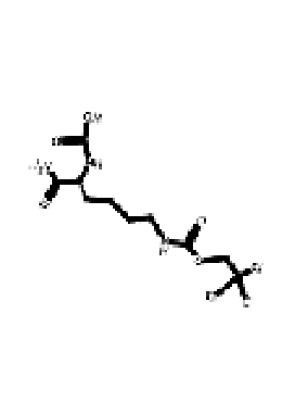 NC(=O)[C@H](CCCCNC(=O)OCC(Cl)(Cl)Cl)NC(=O)O